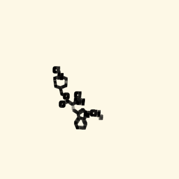 Cn1cc(C[C@@H](NCl)C(=O)OCC2CCN(Cl)CC2)c2ccccc21